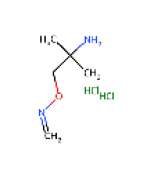 C=NOCC(C)(C)N.Cl.Cl